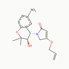 C=CCOC1=CC(=O)N([C@H]2c3cc([N+](=O)[O-])ccc3OC(C)(C)[C@@H]2O)C1